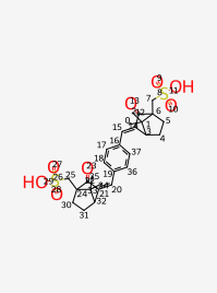 CC1(C)C2CCC1(CS(=O)(=O)O)C(=O)C2=Cc1ccc(C=C2C(=O)C3(CS(=O)(=O)O)CCC2C3(C)C)cc1